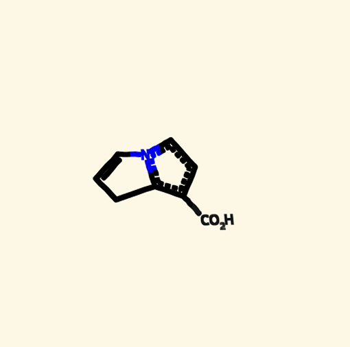 O=C(O)c1ccn2c1CC=C2